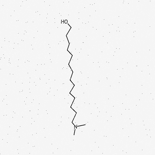 CN(C)CCCCCCCCCCCCCCO